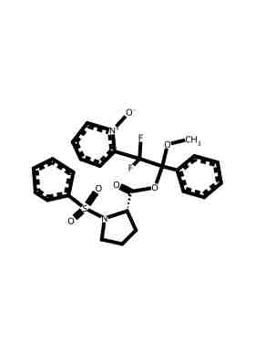 COC(OC(=O)[C@@H]1CCCN1S(=O)(=O)c1ccccc1)(c1ccccc1)C(F)(F)c1cccc[n+]1[O-]